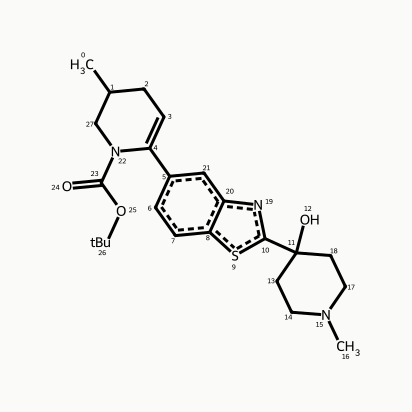 CC1CC=C(c2ccc3sc(C4(O)CCN(C)CC4)nc3c2)N(C(=O)OC(C)(C)C)C1